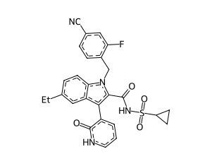 CCc1ccc2c(c1)c(-c1ccc[nH]c1=O)c(C(=O)NS(=O)(=O)C1CC1)n2Cc1ccc(C#N)cc1F